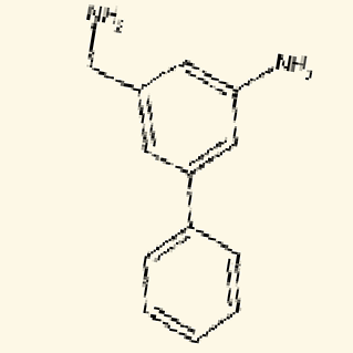 NCc1cc(N)cc(-c2ccccc2)c1